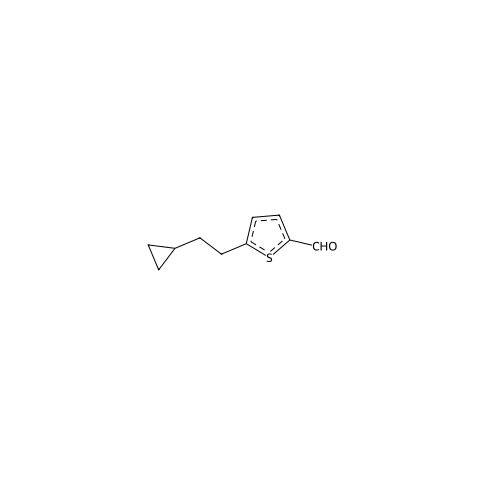 O=Cc1ccc(CCC2CC2)s1